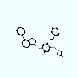 N#Cc1cncc(COc2cc(OC3CCc4c(-c5ccccc5)cccc43)c(N)cc2CN2CC(O)C2)c1